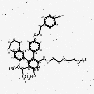 CCOCCOCCOCc1nc(C)c(C(OC(C)(C)C)C(=O)O)c(-c2ccc3c(c2)CCCO3)c1-c1ccc(OCCc2ccc(F)cc2)cc1